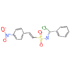 O=[N+]([O-])c1ccc(C=CS(=O)(=O)N=C(Cl)c2ccccc2)cc1